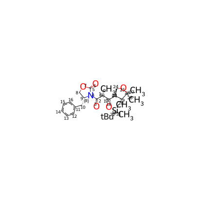 C[C@@H](C(=O)N1C(=O)OC[C@H]1Cc1ccccc1)[C@@H](O[Si](C)(C)C(C)(C)C)[C@H]1COC(C)(C)C1